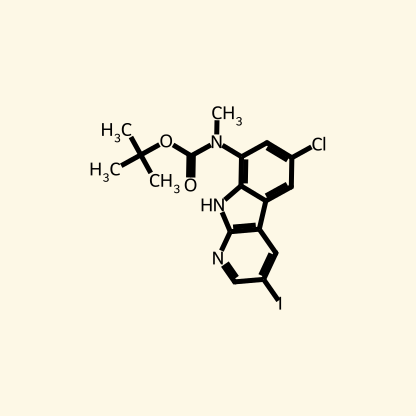 CN(C(=O)OC(C)(C)C)c1cc(Cl)cc2c1[nH]c1ncc(I)cc12